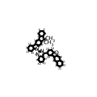 CC1(C)c2ccccc2-c2cc3c4ccccc4n(-c4nc(-c5ccc6oc7cc8ccccc8cc7c6c5)c5ccccc5n4)c3cc21